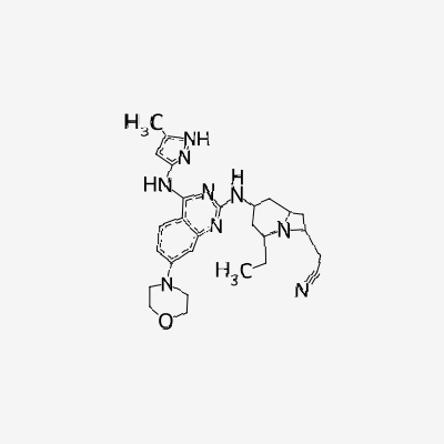 CCC1CC(Nc2nc(Nc3cc(C)[nH]n3)c3ccc(N4CCOCC4)cc3n2)CC2CC(CC#N)N12